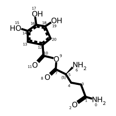 NC(=O)CC[C@H](N)C(=O)OC(=O)c1cc(O)c(O)c(O)c1